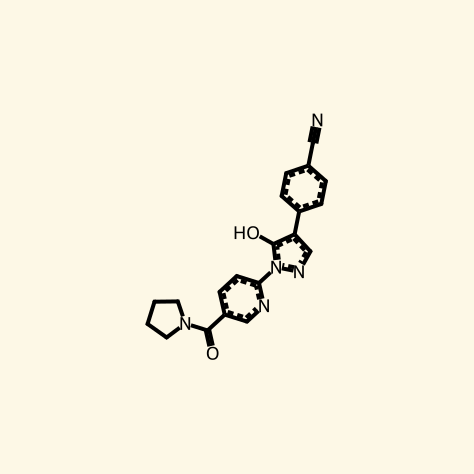 N#Cc1ccc(-c2cnn(-c3ccc(C(=O)N4CCCC4)cn3)c2O)cc1